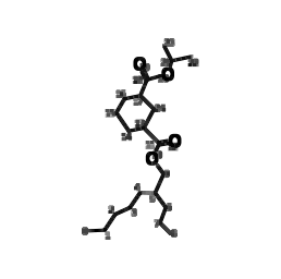 CCCCCC(CCC)COC(=O)C1CCCC(C(=O)OC(C)C)C1